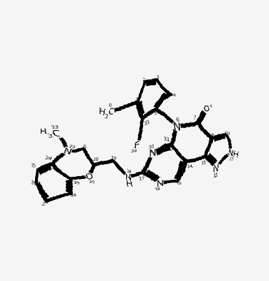 Cc1cccc(-n2c(=O)c3c[nH]nc3c3cnc(NCC4CN(C)c5ccccc5O4)nc32)c1F